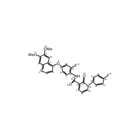 COc1cc2nccc(Oc3ccc(NC(=O)c4cccn(-c5ccc(F)cc5)c4=O)c(F)c3)c2cc1OC